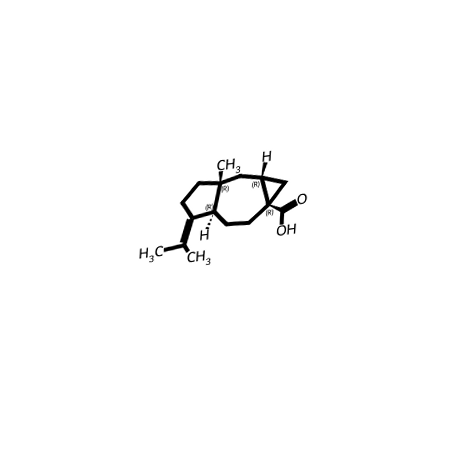 CC(C)=C1CC[C@]2(C)C[C@@H]3C[C@]3(C(=O)O)CC[C@@H]12